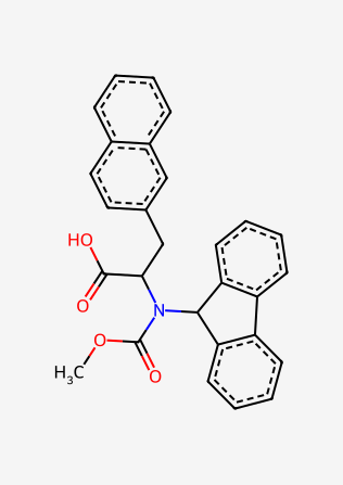 COC(=O)N(C(Cc1ccc2ccccc2c1)C(=O)O)C1c2ccccc2-c2ccccc21